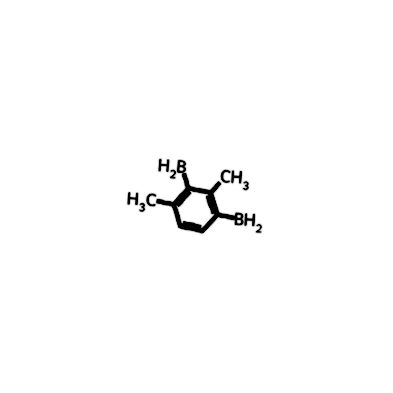 Bc1ccc(C)c(B)c1C